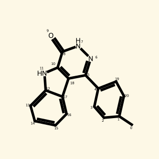 Cc1ccc(-c2n[nH]c(=O)c3[nH]c4ccccc4c23)cc1